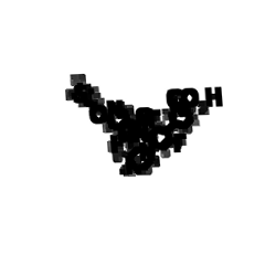 C[C@H]1CN(c2cc(F)c(C3=CCCN(C(=O)O)C3)c(F)c2NC(=O)c2cnc(OCC[Si](C)(C)C)cc2C(F)F)CCN1C